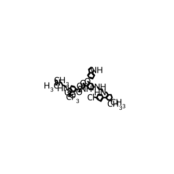 CN(C)CCCNc1ccc(S(=O)(=O)NC(=O)c2ccc(NCCNCC3=C(c4ccc(Cl)cc4)CC(C)(C)CC3)cc2Oc2ccc3[nH]ccc3c2)cc1S(=O)(=O)C(F)(F)F